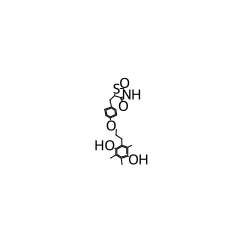 Cc1c(C)c(O)c(CCCOc2ccc(CC3SC(=O)NC3=O)cc2)c(C)c1O